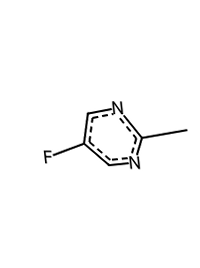 Cc1ncc(F)cn1